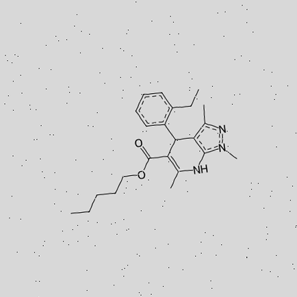 CCCCCOC(=O)C1=C(C)Nc2c(c(C)nn2C)C1c1ccccc1CC